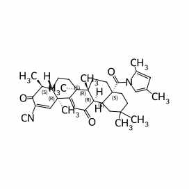 [C-]#[N+]C1=C[C@]2(C)C3=CC(=O)[C@@H]4[C@@H]5CC(C)(C)CC[C@]5(C(=O)n5cc(C)cc5C)CC[C@@]4(C)[C@]3(C)CC[C@H]2[C@H](C)C1=O